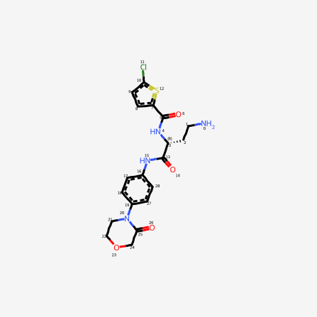 NCC[C@@H](NC(=O)c1ccc(Cl)s1)C(=O)Nc1ccc(N2CCOCC2=O)cc1